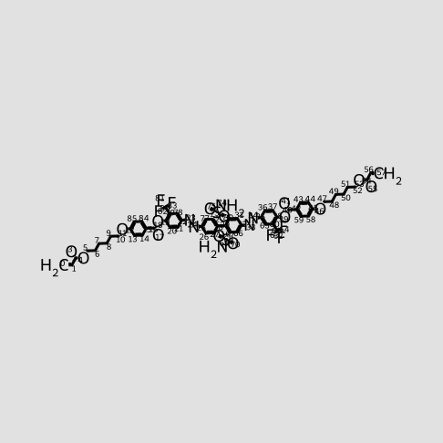 C=CC(=O)OCCCCCCOc1ccc(C(=O)Oc2ccc(N=Nc3ccc(-c4ccc(N=Nc5ccc(OC(=O)c6ccc(OCCCCCCOC(=O)C=C)cc6)c(C(F)(F)F)c5)cc4S(N)(=O)=O)c(S(N)(=O)=O)c3)cc2C(F)(F)F)cc1